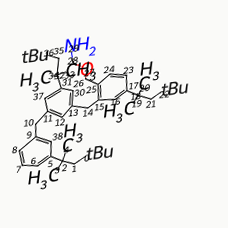 CC(C)(C)CC(C)(C)c1cccc(Cc2cc(Cc3cc(C(C)(C)CC(C)(C)C)ccc3COCN)cc(C(C)(C)CC(C)(C)C)c2)c1